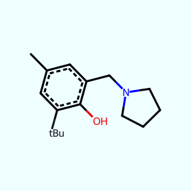 Cc1cc(CN2CCCC2)c(O)c(C(C)(C)C)c1